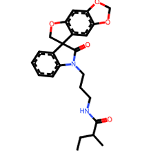 CCC(C)C(=O)NCCCN1C(=O)C2(COc3cc4c(cc32)OCO4)c2ccccc21